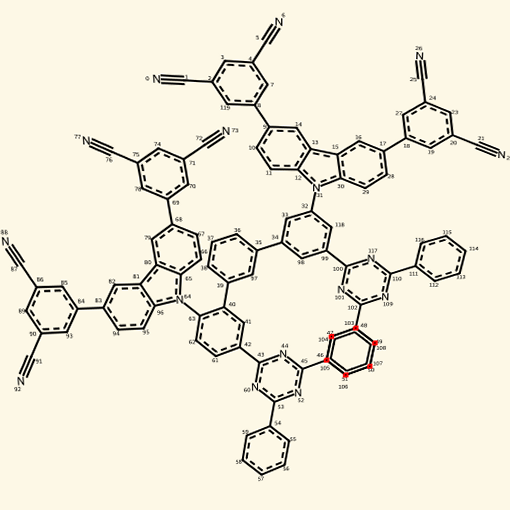 N#Cc1cc(C#N)cc(-c2ccc3c(c2)c2cc(-c4cc(C#N)cc(C#N)c4)ccc2n3-c2cc(-c3cccc(-c4cc(-c5nc(-c6ccccc6)nc(-c6ccccc6)n5)ccc4-n4c5ccc(-c6cc(C#N)cc(C#N)c6)cc5c5cc(-c6cc(C#N)cc(C#N)c6)ccc54)c3)cc(-c3nc(-c4ccccc4)nc(-c4ccccc4)n3)c2)c1